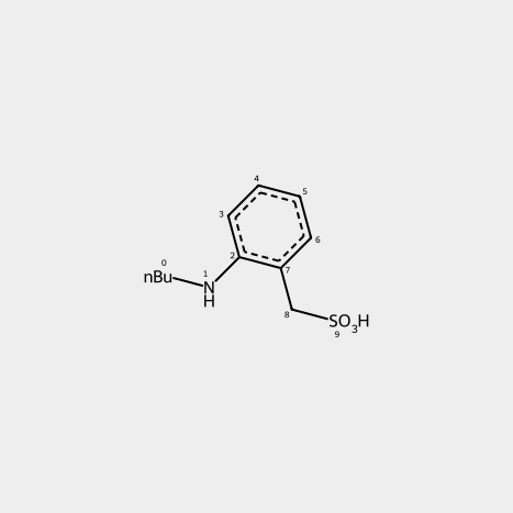 CCCCNc1ccccc1CS(=O)(=O)O